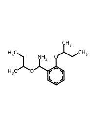 CCC(C)Oc1ccccc1C(N)OC(C)CC